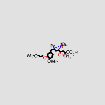 COCCCOc1cc(CC(CC(NOC(C)(C)C)C(O)CC(C)C(=O)O)C(C)C)ccc1OC